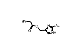 CC(=O)c1nc(COC(=O)CC(C)C)c[nH]1